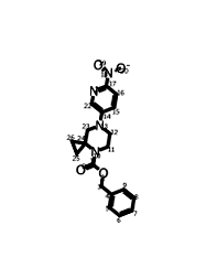 O=C(OCc1ccccc1)N1CCN(c2ccc([N+](=O)[O-])nc2)CC12CC2